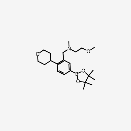 COCCN(C)Cc1cc(B2OC(C)(C)C(C)(C)O2)ccc1C1CCOCC1